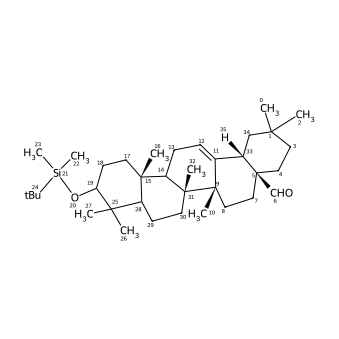 CC1(C)CC[C@]2(C=O)CC[C@@]3(C)C(=CCC4[C@@]5(C)CCC(O[Si](C)(C)C(C)(C)C)C(C)(C)C5CC[C@]43C)[C@@H]2C1